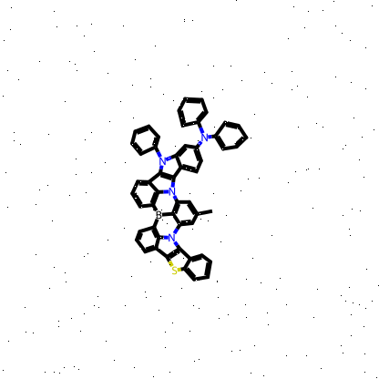 Cc1cc2c3c(c1)-n1c4c(cccc4c4c1c1ccc(N(c5ccccc5)c5ccccc5)cc1n4-c1ccccc1)B3c1cccc3c4sc5ccccc5c4n-2c13